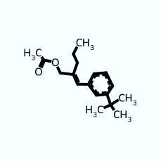 CCC/C(=C\c1cccc(C(C)(C)C)c1)COC(C)=O